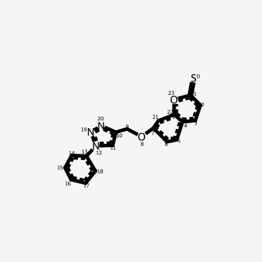 S=c1ccc2ccc(OCc3cn(-c4ccccc4)nn3)cc2o1